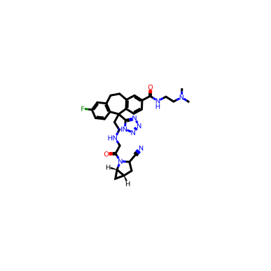 CN(C)CCNC(=O)c1ccc2c(c1)CCc1cc(F)ccc1C2(CCNCC(=O)N1C(C#N)C[C@@H]2C[C@@H]21)c1nnn[nH]1